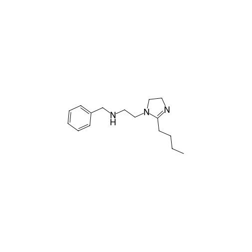 CCCCC1=NCCN1CCNCc1ccccc1